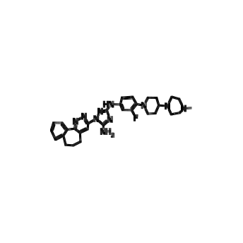 CN1CCN(C2CCN(c3ccc(Nc4nc(N)n(-c5cc6c(nn5)-c5ccccc5CCC6)n4)cc3F)CC2)CC1